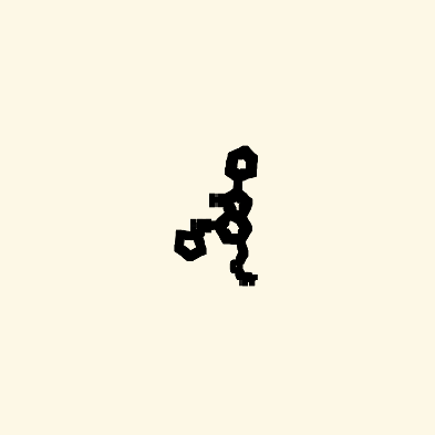 CC(C)OCc1cc(NC2CCCC2)c2[nH]c(-c3ccccc3)cc2c1